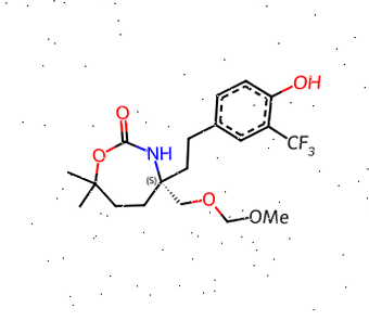 COCOC[C@]1(CCc2ccc(O)c(C(F)(F)F)c2)CCC(C)(C)OC(=O)N1